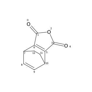 O=C1OC(=O)C2=C1C1C=CC2CC1